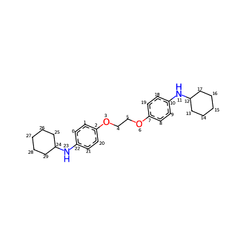 c1cc(OCCOc2ccc(NC3CCCCC3)cc2)ccc1NC1CCCCC1